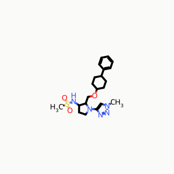 Cn1cc(N2CCC(NS(C)(=O)=O)C2COC2CCC(c3ccccc3)CC2)nn1